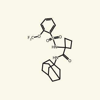 O=C(NC12CC3CC(CC(C3)C1)C2)C1(NS(=O)(=O)c2ccccc2OC(F)(F)F)CCC1